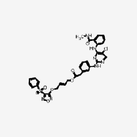 CNC(=O)c1ccccc1Nc1nc(Nc2cccc(CC(=O)OCC=CCOc3nonc3S(=O)(=O)c3ccccc3)c2)ncc1Cl